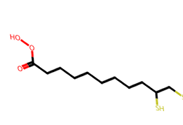 O=C(CCCCCCCCC(S)CS)OO